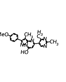 COc1ccc(-c2nn3c(O)cc(-c4cnc(C)nc4C)nc3c2C)cc1